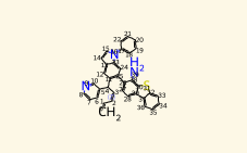 C=C/C=C\C(c1cccnc1)c1cc2ccn(-c3ccccc3)c2cc1-c1ccc2c(sc3ccccc32)c1N